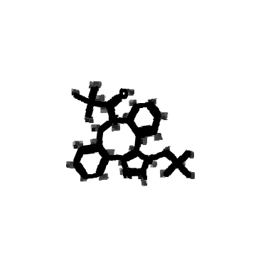 CC(C)(C)Cn1nnc2c1-c1ccccc1N(C(=O)C(C)(C)C)Cc1ccccc1-2